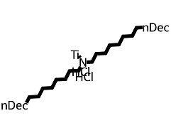 CCCCCCCCCCCCCCCCCC[N]([Ti])CCCCCCCCCCCCCCCCCC.Cl.Cl